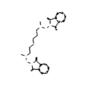 CN(CCCCCCN(C)SN1C(=O)c2ccccc2C1=O)SN1C(=O)c2ccccc2C1=O